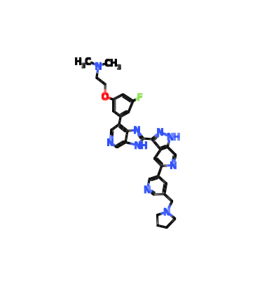 CN(C)CCOc1cc(F)cc(-c2cncc3[nH]c(-c4n[nH]c5cnc(-c6cncc(CN7CCCC7)c6)cc45)nc23)c1